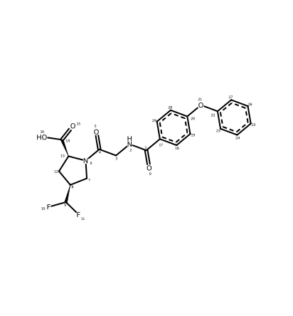 O=C(NCC(=O)N1C[C@@H](C(F)F)C[C@H]1C(=O)O)c1ccc(Oc2ccccc2)cc1